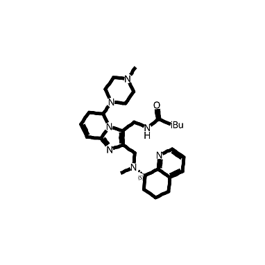 CCC(C)C(=O)NCc1c(CN(C)[C@H]2CCCc3cccnc32)nc2n1C(N1CCN(C)CC1)CC=C2